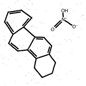 O=[N+]([O-])O.c1ccc2c(c1)ccc1c3c(ccc12)CCCC3